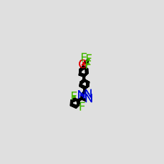 Fc1cccc(F)c1-c1cnnc(-c2ccc(-c3ccc(OC(F)(F)F)cc3)cc2)n1